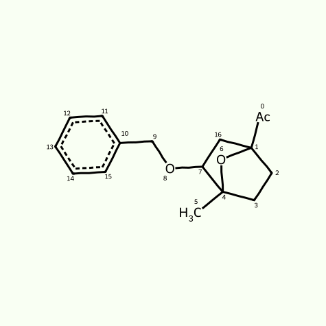 CC(=O)C12CCC(C)(O1)C(OCc1ccccc1)C2